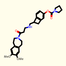 COc1cc2c(cc1OC)CCN(C(=O)CCNCC1Cc3cc(OC(=O)N4CCCC4)ccc31)CC2